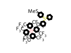 CSc1ccc([S+](c2ccccc2)c2ccccc2)cc1.FC(F)(F)c1cc([B-](c2cc(C(F)(F)F)cc(C(F)(F)F)c2)(c2cc(C(F)(F)F)cc(C(F)(F)F)c2)c2cc(C(F)(F)F)cc(C(F)(F)F)c2)cc(C(F)(F)F)c1